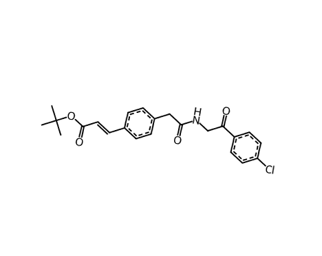 CC(C)(C)OC(=O)/C=C/c1ccc(CC(=O)NCC(=O)c2ccc(Cl)cc2)cc1